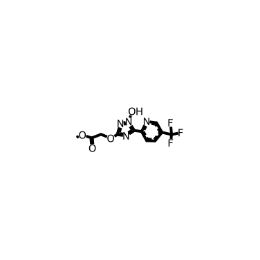 COC(=O)COc1nc(-c2ccc(C(F)(F)F)cn2)n(O)n1